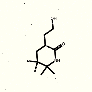 CC1(C)CC(CCO)C(=O)NC1(C)C